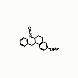 COc1ccc2c(c1)CCC(N=C=O)C2Cc1ccccc1